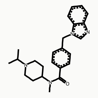 CC(C)N1CCC(N(C)C(=O)c2ccc(Cn3cnc4ccccc43)cc2)CC1